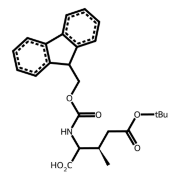 C[C@H](CC(=O)OC(C)(C)C)C(NC(=O)OCC1c2ccccc2-c2ccccc21)C(=O)O